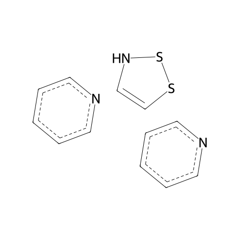 C1=CSSN1.c1ccncc1.c1ccncc1